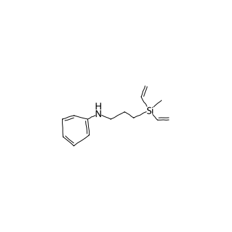 C=C[Si](C)(C=C)CCCNc1ccccc1